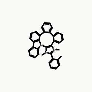 Cc1ccccc1-c1n(I)c2c(c3ccccc3c3ccccc3c3cccc4c5ccccc5n2c34)[n+]1C